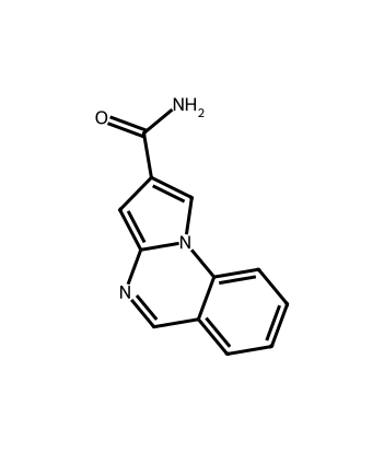 NC(=O)c1cc2ncc3ccccc3n2c1